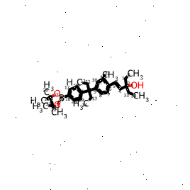 CCC(O)(C=Cc1ccc(C(CC)(CC)c2ccc(B3OC(C)(C)C(C)(C)O3)cc2)cc1C)CC